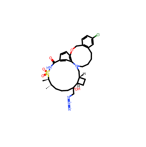 C[C@@H]1[C@@H](C)CCC[C@@](O)(CN=[N+]=[N-])[C@@H]2CC[C@H]2CN2CCCCc3cc(Cl)ccc3COc3ccc(cc32)C(=O)NS1(=O)=O